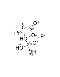 CC(C)OS(=O)OC(C)C.O=P(O)(O)O